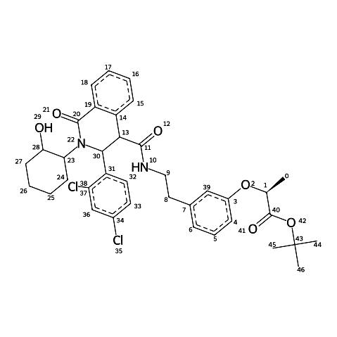 C[C@H](Oc1cccc(CCNC(=O)C2c3ccccc3C(=O)N(C3CCCCC3O)C2c2ccc(Cl)cc2Cl)c1)C(=O)OC(C)(C)C